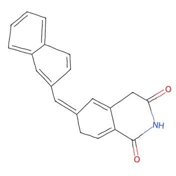 O=C1CC2=CC(=Cc3ccc4ccccc4c3)CC=C2C(=O)N1